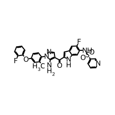 Cc1cc(Oc2ccccc2F)ccc1-n1ncc(C(=O)c2cc3cc(F)c(NS(=O)(=O)c4cccnc4)cc3[nH]2)c1N